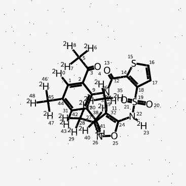 [2H]c1c(C(=O)C([2H])([2H])[2H])c(N([2H])C(=O)c2sccc2S(=O)(=O)N([2H])c2onc(C([2H])([2H])[2H])c2C([2H])([2H])[2H])c(C([2H])([2H])[2H])c([2H])c1C([2H])([2H])[2H]